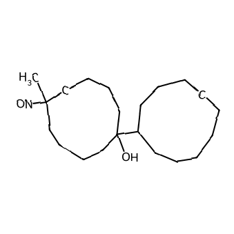 CC1(N=O)CCCCC(O)(C2CCCCCCCCC2)CCCC1